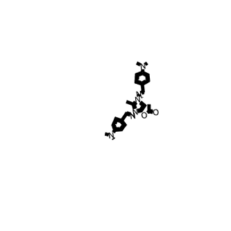 CC(=O)[O-].Cc1n(/N=C/c2ccc(N(C)C)cc2)cc[n+]1/N=C/c1ccc(N(C)C)cc1